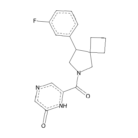 O=C(c1cncc(=O)[nH]1)N1CC(c2cccc(F)c2)C2(CCC2)C1